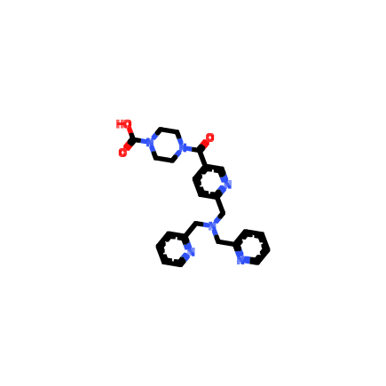 O=C(O)N1CCN(C(=O)c2ccc(CN(Cc3ccccn3)Cc3ccccn3)nc2)CC1